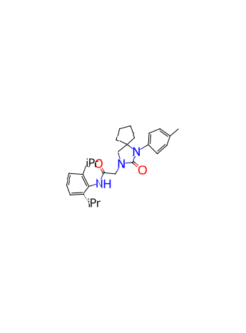 Cc1ccc(N2C(=O)N(CC(=O)Nc3c(C(C)C)cccc3C(C)C)CC23CCCC3)cc1